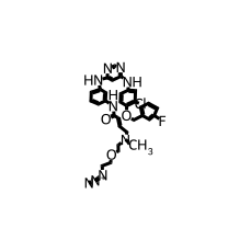 CN(C/C=C/C(=O)Nc1cccc(Nc2cc(Nc3ccc(OCc4cccc(F)c4)c(Cl)c3)ncn2)c1)CCOCCN=[N+]=[N-]